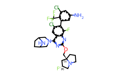 Nc1cc(Cl)c(C(F)(F)F)c(-c2c(Cl)cc3c(N4CC5CCC(C4)N5)nc(OC[C@@]45CCCN4C[C@H](F)C5)nc3c2F)c1